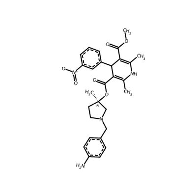 COC(=O)C1=C(C)NC(C)=C(C(=O)O[C@]2(C)CCN(Cc3ccc(N)cc3)C2)C1c1cccc([N+](=O)[O-])c1